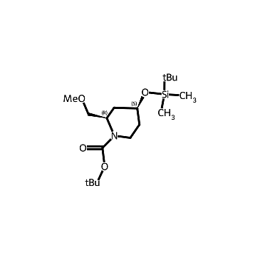 COC[C@H]1C[C@@H](O[Si](C)(C)C(C)(C)C)CCN1C(=O)OC(C)(C)C